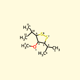 COC1C(C(C)C)SSC1C(C)C